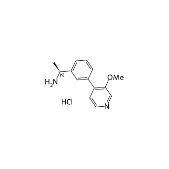 COc1cnccc1-c1cccc([C@H](C)N)c1.Cl